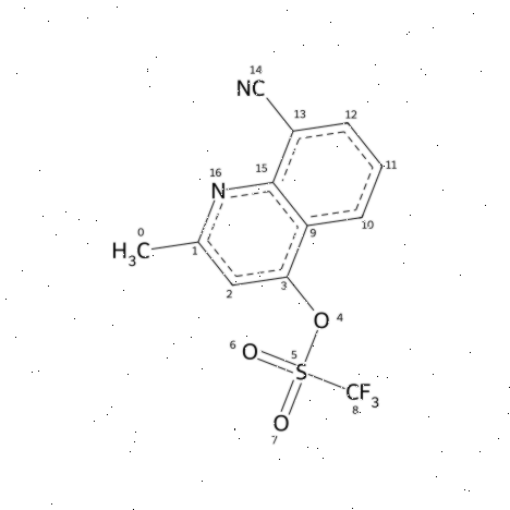 Cc1cc(OS(=O)(=O)C(F)(F)F)c2cccc(C#N)c2n1